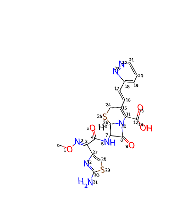 CO/N=C(/C(=O)NC1C(=O)N2C(C(=O)O)=C(/C=C/c3cccnn3)CS[C@H]12)c1csc(N)n1